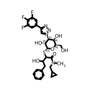 CN(CC1CC1)C(=O)C(S[C@@H]1O[C@H](CO)[C@H](O)[C@H](n2cc(-c3cc(F)c(F)c(F)c3)nn2)[C@H]1O)C(O)Cc1ccccc1